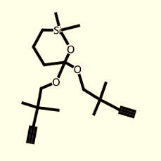 C#CC(C)(C)COC1(OCC(C)(C)C#C)CCC[Si](C)(C)O1